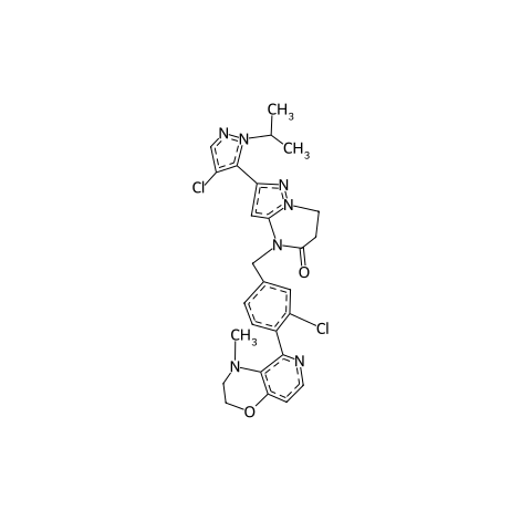 CC(C)n1ncc(Cl)c1-c1cc2n(n1)CCC(=O)N2Cc1ccc(-c2nccc3c2N(C)CCO3)c(Cl)c1